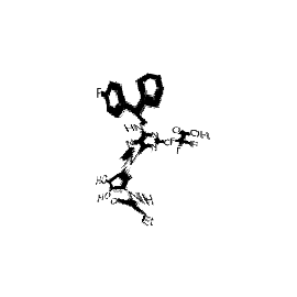 CCC(=O)N[C@H]1C[C@@H](n2cnc3c(NCC(c4ccccc4)c4ccc(F)cc4)nc(Cl)nc32)[C@H](O)[C@@H]1O.O=C(O)C(F)(F)F